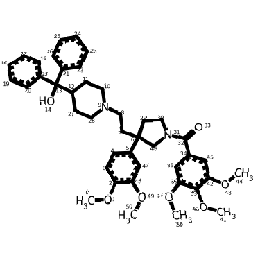 COc1ccc(C2(CCN3CCC(C(O)(c4ccccc4)c4ccccc4)CC3)CCN(C(=O)c3cc(OC)c(OC)c(OC)c3)C2)cc1OC